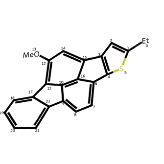 CCc1cc2c(s1)-c1ccc3c4c(c(OC)cc-2c14)-c1ccccc1-3